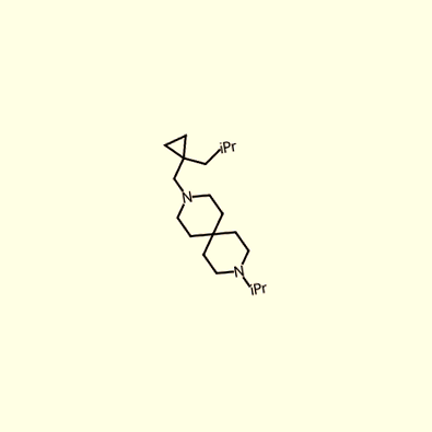 CC(C)CC1(CN2CCC3(CC2)CCN(C(C)C)CC3)CC1